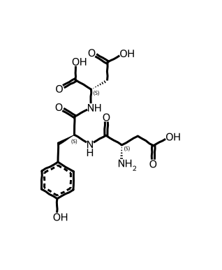 N[C@@H](CC(=O)O)C(=O)N[C@@H](Cc1ccc(O)cc1)C(=O)N[C@@H](CC(=O)O)C(=O)O